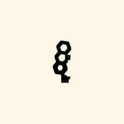 Fc1cc(Br)ccc1CC1CCCCC1